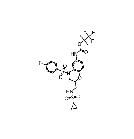 CC(C)(OC(=O)Nc1ccc2c(c1)N(S(=O)(=O)c1ccc(F)cc1)C[C@H](CNS(=O)(=O)C1CC1)O2)C(F)(F)F